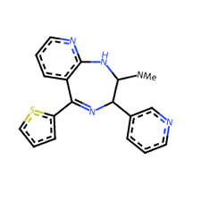 CNC1Nc2ncccc2C(c2cccs2)=NC1c1cccnc1